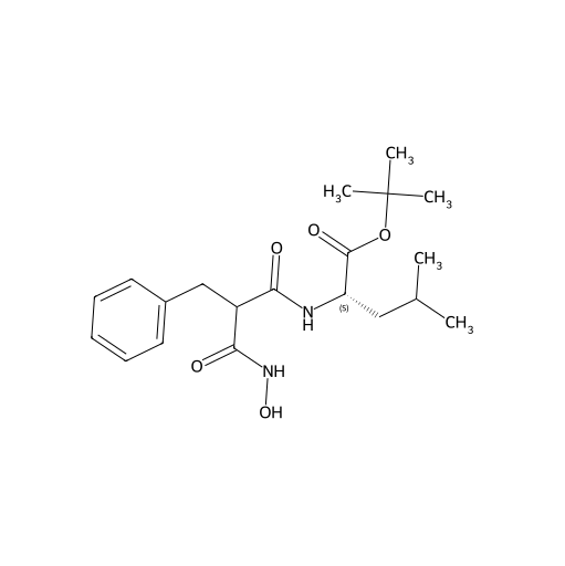 CC(C)C[C@H](NC(=O)C(Cc1ccccc1)C(=O)NO)C(=O)OC(C)(C)C